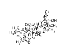 [C-]#[N+]C1=C(O)C(C)(C)[C@@H]2CC[C@]3(C)[C@H](CC(=O)[C@@H]4[C@@H]5CC(C)(C)CC[C@]5(C(C)=O)CC[C@]43C)[C@@]2(C)C1